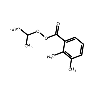 CCCCCC[C](C)OOC(=O)c1cccc(C)c1C